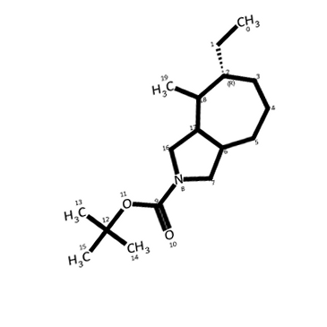 CC[C@@H]1CCCC2CN(C(=O)OC(C)(C)C)CC2C1C